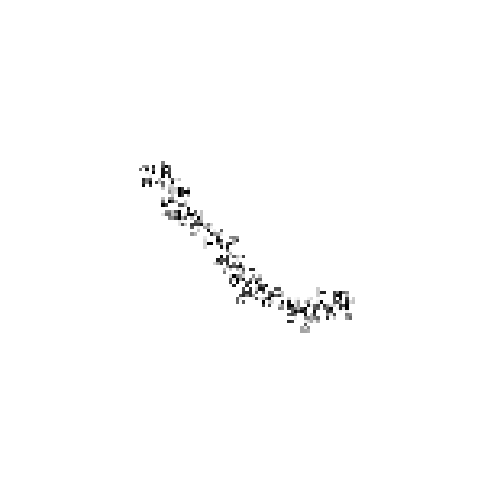 COC(=O)c1cc(NC(=O)c2nc(NC(=O)CCCNC(=O)c3cc(NC(=O)c4nc(NC(=O)CCNC(=O)c5cc(NC(=O)c6nccn6C)cn5C)cn4C)cn3C)cn2C)cn1C